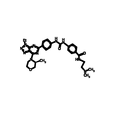 CCn1nnc2c(N3CCOC[C@@H]3C)nc(-c3ccc(NC(=O)Nc4ccc(C(=O)NCCN(C)C)cc4)cc3)nc21